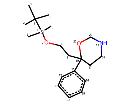 CC(C)(C)[Si](C)(C)OCCC1(c2ccccc2)CCNCO1